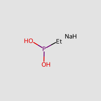 CCP(O)O.[NaH]